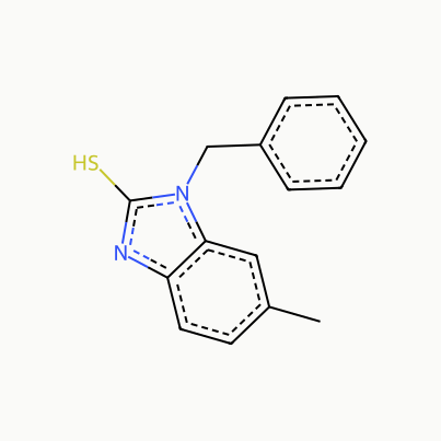 Cc1ccc2nc(S)n(Cc3ccccc3)c2c1